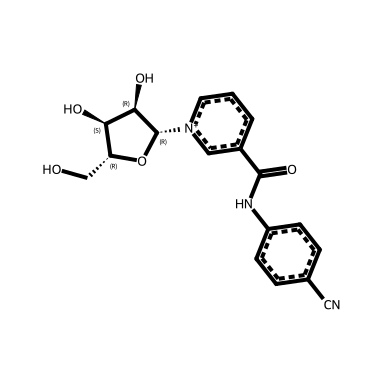 N#Cc1ccc(NC(=O)c2ccc[n+]([C@@H]3O[C@H](CO)[C@@H](O)[C@H]3O)c2)cc1